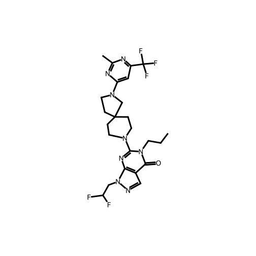 CCCn1c(N2CCC3(CCN(c4cc(C(F)(F)F)nc(C)n4)C3)CC2)nc2c(cnn2CC(F)F)c1=O